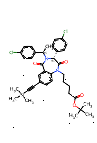 C[C@H](c1ccc(Cl)cc1)N1C(=O)c2cc(C#C[Si](C)(C)C)ccc2N(CCCCC(=O)OC(C)(C)C)C(=O)[C@H]1c1ccc(Cl)cc1